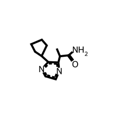 CC(C(N)=O)c1nccnc1C1CCCC1